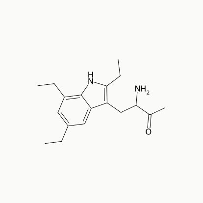 CCc1cc(CC)c2[nH]c(CC)c(CC(N)C(C)=O)c2c1